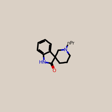 CCCN1CCCC2(C1)C(=O)Nc1ccccc12